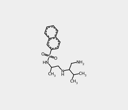 CC(CNC(CN)C(C)C)NS(=O)(=O)c1ccc2ccccc2c1